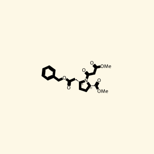 COC(=O)CC(=O)N1[C@@H](CC(=O)OCc2ccccc2)CC[C@H]1C(=O)OC